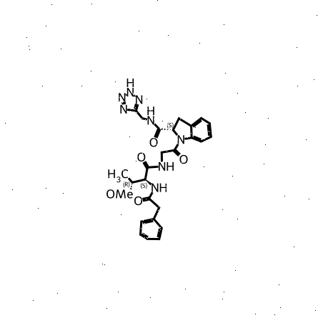 CO[C@H](C)[C@H](NC(=O)Cc1ccccc1)C(=O)NCC(=O)N1c2ccccc2C[C@H]1C(=O)NCc1nn[nH]n1